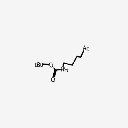 CC(=O)CCCCNC(=O)OC(C)(C)C